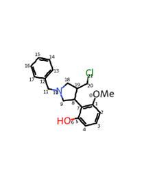 COc1cccc(O)c1C1CN(Cc2ccccc2)CC1CCl